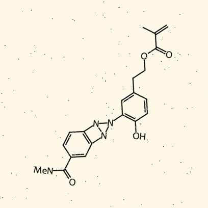 C=C(C)C(=O)OCCc1ccc(O)c(-n2n3c4ccc(C(=O)NC)cc4n23)c1